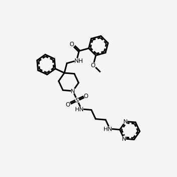 COc1ccccc1C(=O)NCC1(c2ccccc2)CCN(S(=O)(=O)NCCCNc2ncccn2)CC1